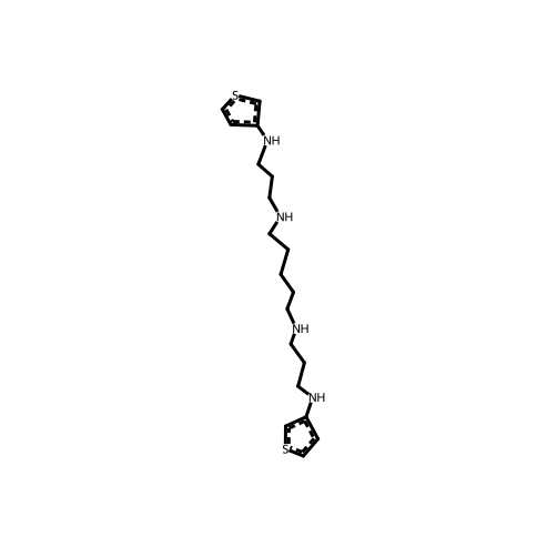 c1cc(NCCCNCCCCCNCCCNc2ccsc2)cs1